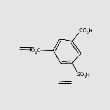 C=C.C=C.O=C(O)c1cc(C(=O)O)cc(S(=O)(=O)O)c1